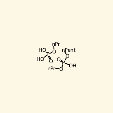 CCCCCOP(=O)(O)OCCC.CCCOP(=O)(O)O